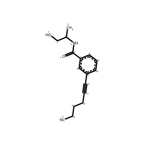 CC(CO)NC(=O)c1cccc(C#CCCCC#N)c1